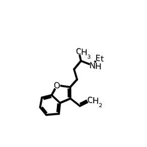 C=Cc1c(CCC(C)NCC)oc2ccccc12